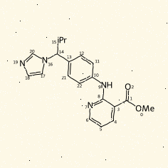 COC(=O)c1cccnc1Nc1ccc(C(C(C)C)n2ccnc2)cc1